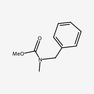 [CH2]OC(=O)N(C)Cc1ccccc1